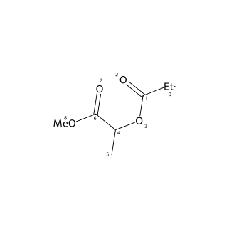 C[CH]C(=O)OC(C)C(=O)OC